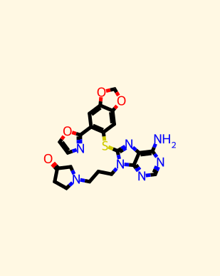 Nc1ncnc2c1nc(Sc1cc3c(cc1-c1ncco1)OCO3)n2CCCN1CCC(=O)C1